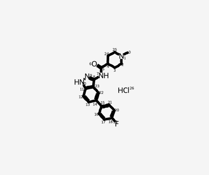 CN1CCC(C(=O)Nc2n[nH]c3ccc(-c4ccc(F)cc4)cc23)CC1.Cl